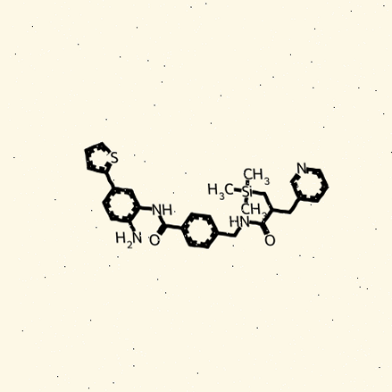 C[Si](C)(C)CC(Cc1cccnc1)C(=O)NCc1ccc(C(=O)Nc2cc(-c3cccs3)ccc2N)cc1